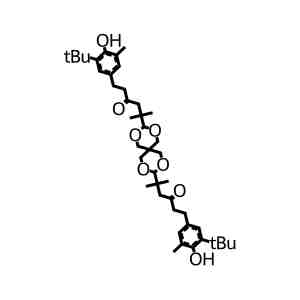 Cc1cc(CCC(=O)CC(C)(C)C2OCC3(CO2)COC(C(C)(C)CC(=O)CCc2cc(C)c(O)c(C(C)(C)C)c2)OC3)cc(C(C)(C)C)c1O